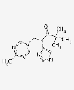 Cc1ncc(CC(C(=O)C(C)(C)C)n2cncn2)cn1